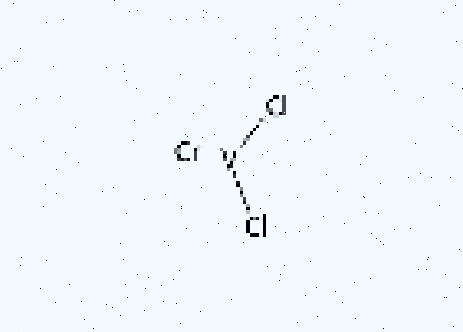 [Cl][V][Cl].[Cr]